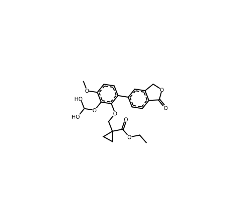 CCOC(=O)C1(COc2c(-c3ccc4c(c3)COC4=O)ccc(OC)c2OC(O)O)CC1